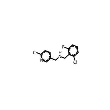 Fc1cccc(Cl)c1CNCc1ccc(Cl)nc1